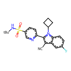 CC(C)(C)NS(=O)(=O)c1ccc(-c2c(C#N)c3cc(F)ccc3n2C2CCC2)nc1